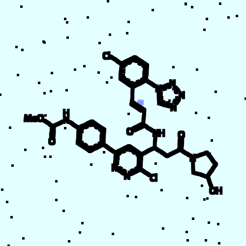 COC(=O)Nc1ccc(-c2cc(C(CC(=O)N3CCC(O)C3)NC(=O)/C=C/c3cc(Cl)ccc3-n3cnnn3)c(Cl)nn2)cc1